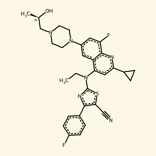 CCN(c1nc(-c2ccc(F)cc2)c(C#N)s1)c1cc(C2CC2)nc2c(F)cc(N3CCN(C[C@@H](C)O)CC3)cc12